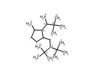 CC1CCC(CP(C(C)(C)C)C(C)(C)C)C1C(P)C(C)(C)C